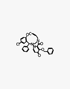 O=C1c2c(OCc3ccccc3)c(=O)ccn2N2CN1C/C=C\COc1ccc(Cl)cc1C2c1ccccc1